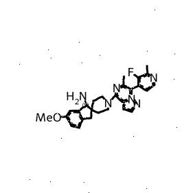 COc1ccc2c(c1)[C@@H](N)C1(CCN(c3nc(C)c(-c4ccnc(C)c4F)n4nccc34)CC1)C2